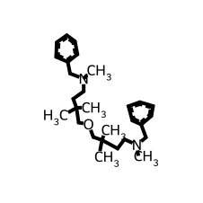 CN(CCC(C)(C)COCC(C)(C)CCN(C)Cc1ccccc1)Cc1ccccc1